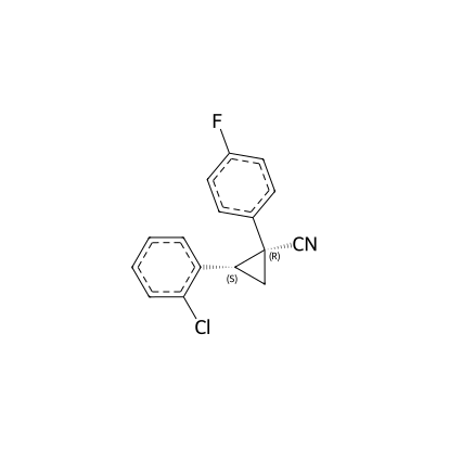 N#C[C@]1(c2ccc(F)cc2)C[C@@H]1c1ccccc1Cl